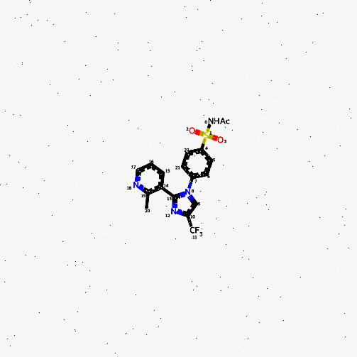 CC(=O)NS(=O)(=O)c1ccc(-n2cc(C(F)(F)F)nc2-c2cccnc2C)cc1